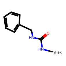 CCCCCCNC(=O)NCc1ccccc1